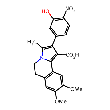 COc1cc2c(cc1OC)-c1c(C(=O)O)c(-c3ccc([N+](=O)[O-])c(O)c3)c(C)n1CC2